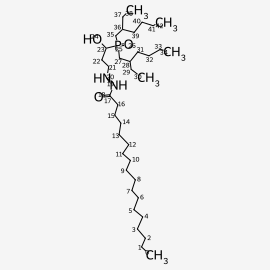 CCCCCCCCCCCCCCCCCC(=O)NNCCC(O)P(=O)(CC(CC)CCCC)CC(CC)CCCC